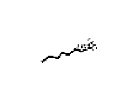 CCCCCCC[SiH]1OO1